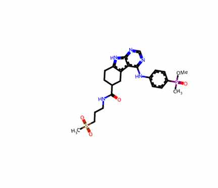 COP(C)(=O)c1ccc(Nc2ncnc3[nH]c4c(c23)CC(C(=O)NCCCS(C)(=O)=O)CC4)cc1